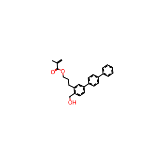 C=C(C)C(=O)OCCCc1cc(-c2ccc(-c3ccccc3)cc2)ccc1CO